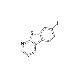 Ic1ccc2c(c1)sc1ncncc12